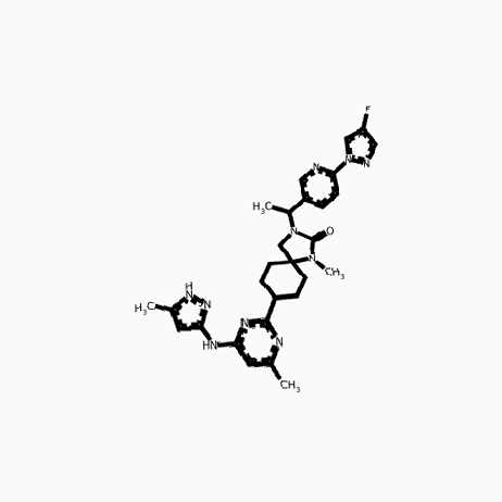 Cc1cc(Nc2cc(C)[nH]n2)nc(C2CCC3(CC2)CN(C(C)c2ccc(-n4cc(F)cn4)nc2)C(=O)N3C)n1